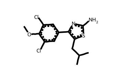 COc1c(Cl)cc(-c2nc(N)sc2CC(C)C)cc1Cl